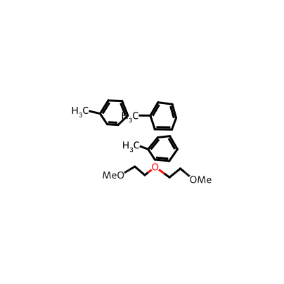 COCCOCCOC.Cc1ccccc1.Cc1ccccc1.Cc1ccccc1